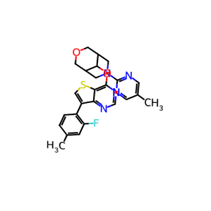 Cc1cnc(N2CC3COCC(C2)C3Oc2ncnc3c(-c4ccc(C)cc4F)csc23)nc1